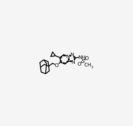 CS(=O)(=O)Nc1nc2cc(OCC34CC5CC(CC(C5)C3)C4)c(C3CC3)cn2n1